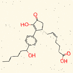 CCCCCC(O)c1ccc(C2=C(O)C(=O)C[C@@H]2C/C=C\CCCC(=O)O)cc1